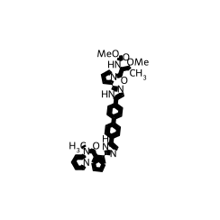 COC(=O)N[C@H](C(=O)N1CCC[C@H]1c1ncc(-c2ccc(-c3ccc(-c4cnc([C@@H]5C6CCC(C6)C5C(=O)N(C)c5ccccn5)[nH]4)cc3)cc2)[nH]1)[C@@H](C)OC